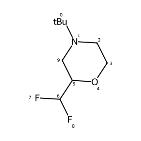 CC(C)(C)N1CCOC(C(F)F)C1